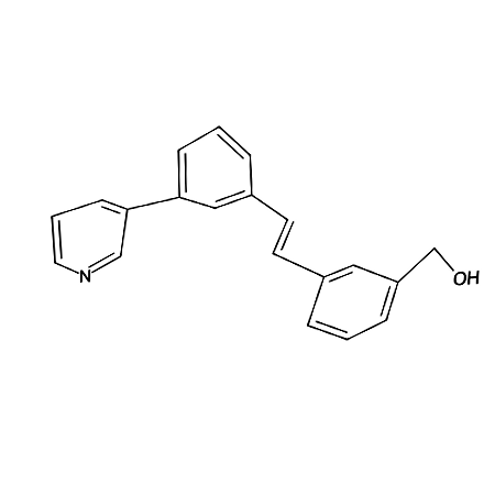 OCc1cccc(C=Cc2cccc(-c3cccnc3)c2)c1